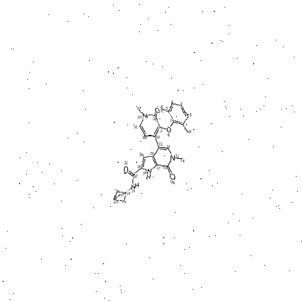 Cc1cccc(C)c1Oc1c(-c2cn(C)c(=O)c3[nH]c(C(=O)NC45CC(C4)C5)cc23)ccn(C)c1=O